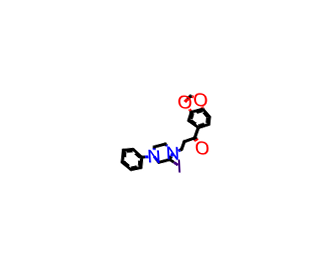 O=C(CCN1CCN(c2ccccc2)CC1I)c1ccc2c(c1)OCO2